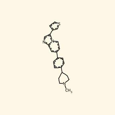 CN1CCC(c2ccc(-c3ccn4c(-c5ccsc5)cnc4c3)cc2)CC1